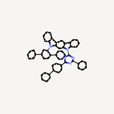 c1ccc(-c2ccc(-c3nc(-c4ccccc4)nc(-n4c5ccccc5c5cc6c7ccccc7n(-c7cc(-c8ccccc8)ccc7-c7ccccc7)c6cc54)n3)cc2)cc1